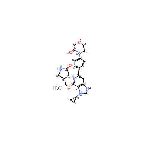 C[C@@H](Oc1nc(-c2ccc(N3CCOCC3=O)cc2)cc2ncn(C3CC3)c12)C1CNC(=O)C1